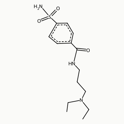 CCN(CC)CCCNC(=O)c1ccc(S(N)(=O)=O)cc1